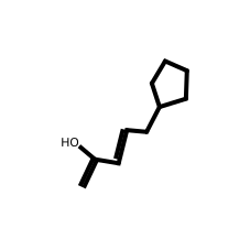 C=C(O)/C=C/CC1CCCC1